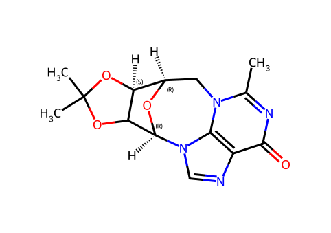 Cc1nc(=O)c2ncn3c2n1C[C@H]1O[C@@H]3C2OC(C)(C)O[C@H]21